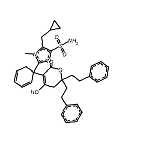 Cn1c(C2(C3=C(O)CC(CCc4ccccc4)(CCc4ccccc4)OC3=O)C=CC=CC2)nc(S(N)(=O)=O)c1CC1CC1